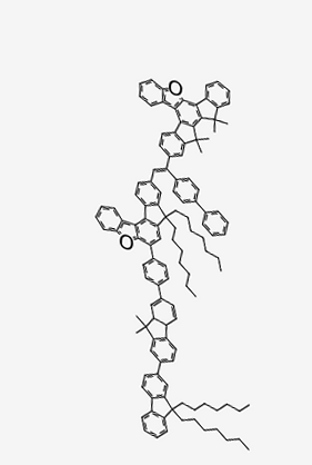 CCCCCCCC1(CCCCCCC)c2ccccc2-c2ccc(-c3ccc4c(c3)C(C)(C)C3C=C(c5ccc(-c6cc7c(c8c6oc6ccccc68)-c6ccc(/C=C(\c8ccc(-c9ccccc9)cc8)c8ccc9c(c8)C(C)(C)c8c%10c(c%11oc%12ccccc%12c%11c8-9)-c8ccccc8C%10(C)C)cc6C7(CCCCCCC)CCCCCCC)cc5)C=CC43)cc21